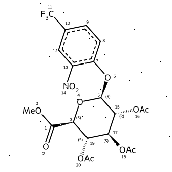 COC(=O)[C@H]1O[C@@H](Oc2ccc(C(F)(F)F)cc2[N+](=O)[O-])[C@H](OC(C)=O)[C@@H](OC(C)=O)[C@@H]1OC(C)=O